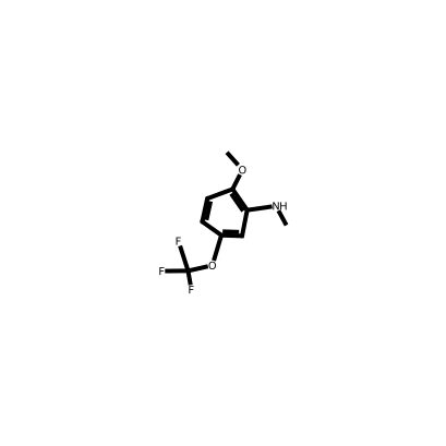 CNc1cc(OC(F)(F)F)ccc1OC